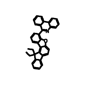 CCC1(CC)c2ccccc2-c2ccc3oc4c(-c5nc6ccccc6c6ccccc56)cccc4c3c21